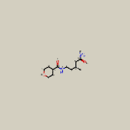 C[C@@H]([CH]CNC(=O)C1CCOCC1)CC(N)=O